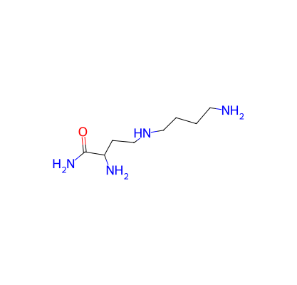 NCCCCNCCC(N)C(N)=O